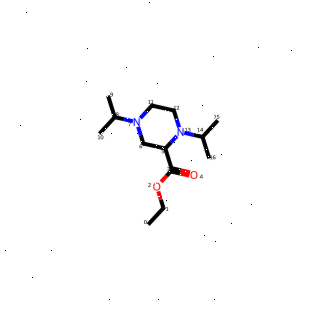 CCOC(=O)C1CN(C(C)C)CCN1C(C)C